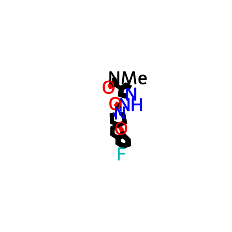 CNC(=O)c1ccnc(NC(=O)N2CCC3(CCc4cc(F)ccc4O3)CC2)c1